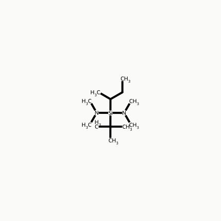 CCC(C)[Si](N(C)C)(N(C)C)C(C)(C)C